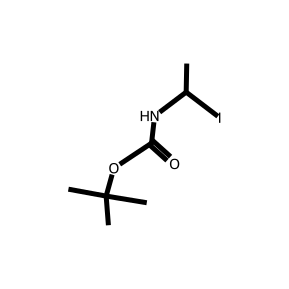 CC(I)NC(=O)OC(C)(C)C